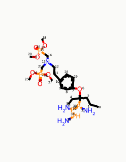 CCCC(CC)(Oc1ccc(CCN(CP(=O)(OC)OC)CP(=O)(OC)OC)cc1)P(N)P(N)PN